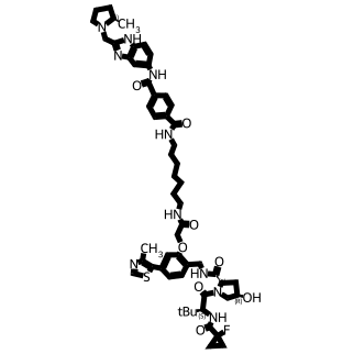 Cc1ncsc1-c1ccc(CNC(=O)[C@@H]2C[C@@H](O)CN2C(=O)[C@@H](NC(=O)C2(F)CC2)C(C)(C)C)c(OCC(=O)NCCCCCCCNC(=O)c2ccc(C(=O)Nc3ccc4[nH]c(CN5CCC[C@@H]5C)nc4c3)cc2)c1